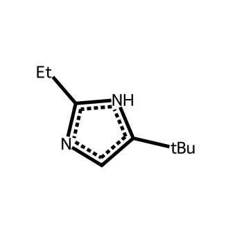 CCc1ncc(C(C)(C)C)[nH]1